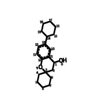 OC1CC2(CCCCC2)Oc2ccc(C3CCCCC3)cc21